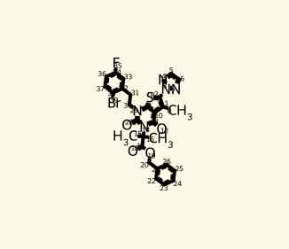 Cc1c(-n2nccn2)sc2c1c(=O)n(C(C)(C)C(=O)OCc1ccccc1)c(=O)n2CCc1cc(F)ccc1Br